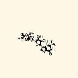 CN(C)c1nc2c(ncn2[C@@H]2O[C@H](COP(=O)(O)OP(=O)(O)O)C(O)[C@@H]2O)c(=O)[nH]1